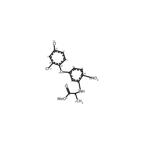 COC(=O)C(C)Nc1cc(Oc2ccc(Cl)cc2Cl)ccc1[N+](=O)[O-]